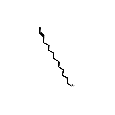 [CH2]C=CCCCCCCCCCCC[C](C)C